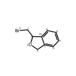 BrCC1OCc2ccccc21